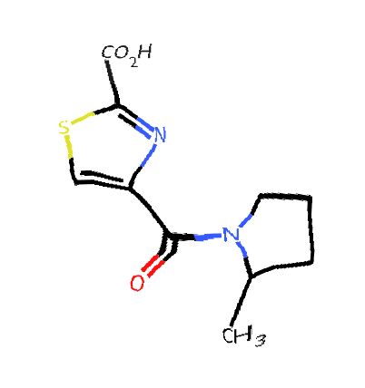 CC1CCCN1C(=O)c1csc(C(=O)O)n1